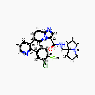 O=C(NCC12CCCN1CCC2)c1cnc2ccc(-c3cccnc3-c3ccc(F)c(Cl)c3)cn12